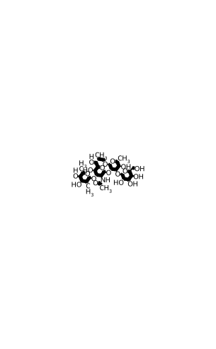 CCCO[C@@H]1OC(C)[C@H](O)[C@H](O[C@H]2O[C@@H](CO)[C@@H](O)C(O)C2O)C1O[C@@H]1OC(CO)[C@@H](O)C(O[C@@H]2OC(C)[C@H](O)[C@H](O)C2C)[C@@H]1NC(C)=O